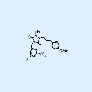 CCCN1C(=O)N(Cc2cc(C(F)(F)F)cc(C(F)(F)F)c2)C(=O)C1CCCc1ccc(OC)cc1